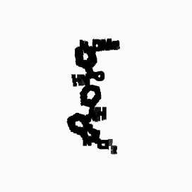 COc1cc(C(=O)N[C@H]2CC[C@@H](Nc3cccc4nc(C(F)(F)F)cn34)CC2)ccn1